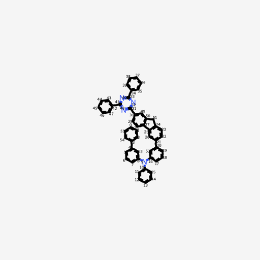 c1ccc(-c2cccc(N(c3ccccc3)c3cccc(-c4ccc5c(c4)-c4ccc(-c6nc(-c7ccccc7)nc(-c7ccccc7)n6)cc4C5)c3)c2)cc1